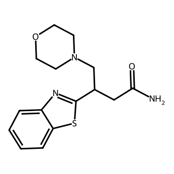 NC(=O)CC(CN1CCOCC1)c1nc2ccccc2s1